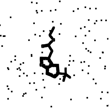 CCOC(=O)Cc1coc2ccc(C(C)(C)C)cc12